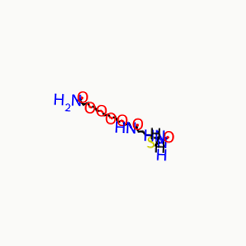 NC(=O)CCOCCOCCOCCOCCNC(=O)CCCC[C@@H]1SC[C@@H]2NC(=O)N[C@@H]21